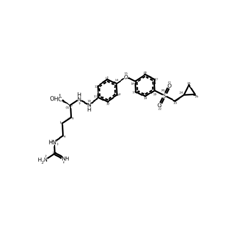 N=C(N)NCCC[C@@H](C=O)NNc1ccc(Oc2ccc(S(=O)(=O)CC3CC3)cc2)cc1